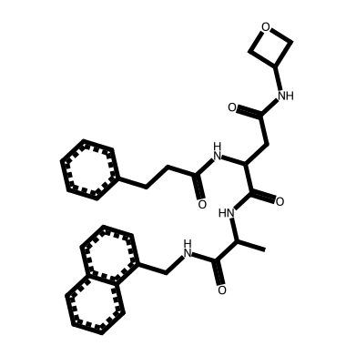 CC(NC(=O)C(CC(=O)NC1COC1)NC(=O)CCc1ccccc1)C(=O)NCc1cccc2ccccc12